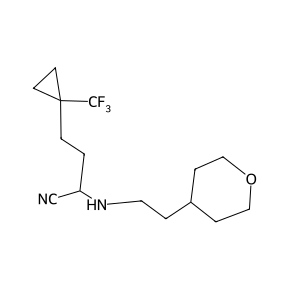 N#CC(CCC1(C(F)(F)F)CC1)NCCC1CCOCC1